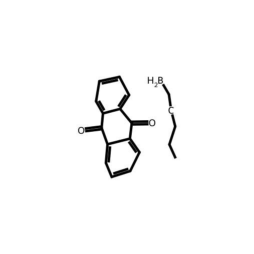 BCCCCC.O=C1c2ccccc2C(=O)c2ccccc21